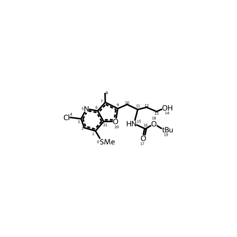 CSc1cc(Cl)nc2c(C)c(CC(CCO)NC(=O)OC(C)(C)C)oc12